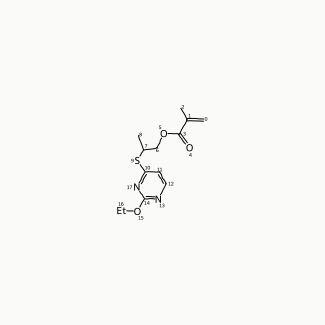 C=C(C)C(=O)OCC(C)Sc1ccnc(OCC)n1